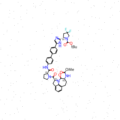 COC(=O)N[C@H]1CCc2cccc3c2N(C1=O)[C@H](C(=O)N1CCC[C@H]1C(=O)Nc1ccc(-c2ccc(-c4cnc([C@@H]5CC(F)(F)CN5C(=O)OC(C)(C)C)[nH]4)cc2)cc1)C3